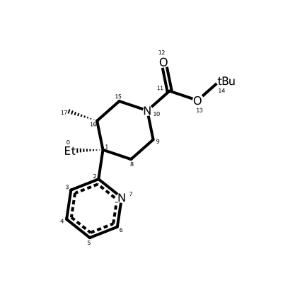 CC[C@@]1(c2ccccn2)CCN(C(=O)OC(C)(C)C)C[C@H]1C